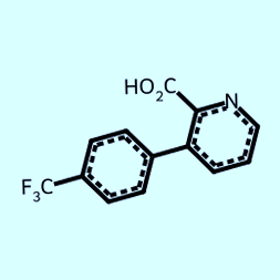 O=C(O)c1ncccc1-c1ccc(C(F)(F)F)cc1